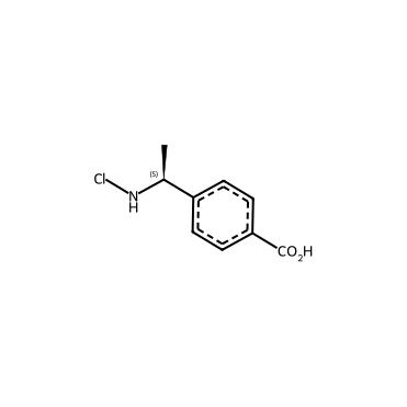 C[C@H](NCl)c1ccc(C(=O)O)cc1